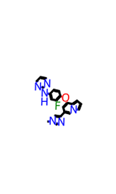 Cn1cnc(-c2cc(Oc3ccc(Nc4ncccn4)cc3F)c3cccn3c2)c1